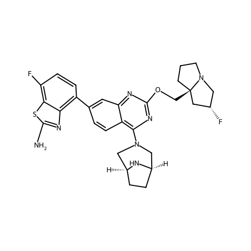 Nc1nc2c(-c3ccc4c(N5C[C@H]6CC[C@@H](C5)N6)nc(OC[C@@]56CCCN5C[C@H](F)C6)nc4c3)ccc(F)c2s1